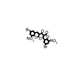 O=C(c1cc2cc(Br)cc([N+](=O)[O-])c2oc1=O)c1cc2cc(Br)cc([N+](=O)[O-])c2oc1=O